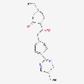 CCCCCc1cnc(-c2ccc(CC(=O)C3CCC(CCCCC)CC3=O)cc2)nc1